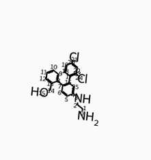 NCCNc1ccc(-c2ccccc2CO)c(-c2ccc(Cl)cc2Cl)c1